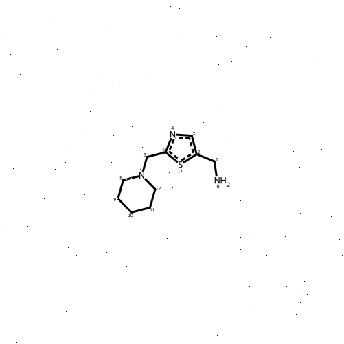 NCc1cnc(CN2CC[CH]CC2)s1